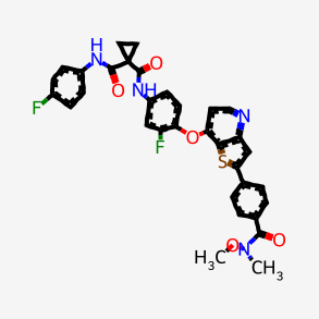 CON(C)C(=O)c1ccc(-c2cc3nccc(Oc4ccc(NC(=O)C5(C(=O)Nc6ccc(F)cc6)CC5)cc4F)c3s2)cc1